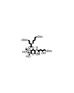 CCCCCCCCCCCCCC[C@H](CCCCCCCCCCCC)C(=O)O[C@@H]1[C@H](NC(=O)C[C@H](O)CCCCCCCCCCC)[C@@H](O)O[C@H](CO)[C@H]1OP(=O)(O)O